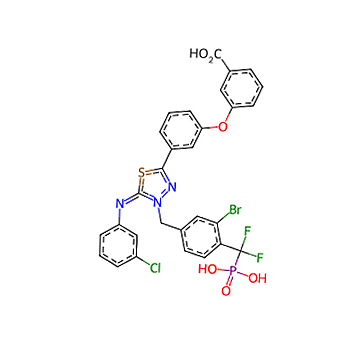 O=C(O)c1cccc(Oc2cccc(-c3nn(Cc4ccc(C(F)(F)P(=O)(O)O)c(Br)c4)/c(=N\c4cccc(Cl)c4)s3)c2)c1